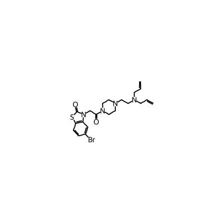 C=CCN(CC=C)CCN1CCN(C(=O)Cn2c(=O)sc3ccc(Br)cc32)CC1